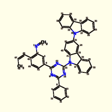 C=Nc1cc(-c2nc(-c3ccccc3)nc(-n3c4ccccc4c4cc(-n5c6ccccc6c6ccccc65)ccc43)n2)ccc1/C=C\C